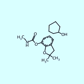 CNC(=O)Oc1cccc2c1OC(C)(C)C2.OC1CCCCC1